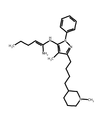 CCCC=C(N)Nc1c(C)c(CCCCC2CCCN(C)C2)nn1-c1ccccc1